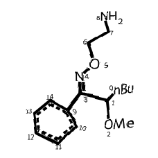 CCCCC(OC)C(=NOCCN)c1ccccc1